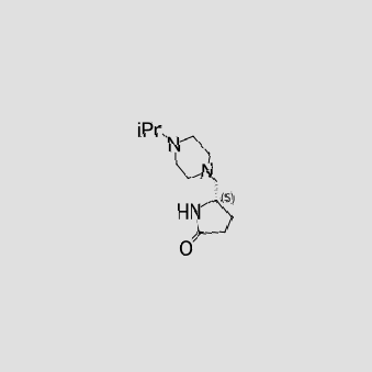 CC(C)N1CCN(C[C@@H]2CCC(=O)N2)CC1